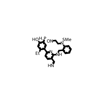 CCc1cc(O)c(P)cc1-c1ccc(C=N)c(NCc2ccccc2N(CCN=O)SC)n1